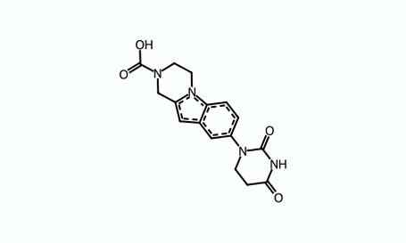 O=C1CCN(c2ccc3c(c2)cc2n3CCN(C(=O)O)C2)C(=O)N1